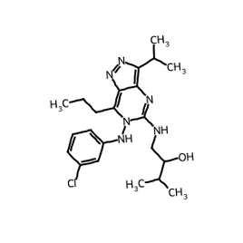 CCCc1c2nnc(C(C)C)c-2nc(NCC(O)C(C)C)n1Nc1cccc(Cl)c1